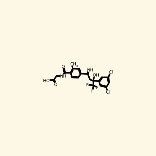 Cc1cc(C(=N)CC(O)(c2cc(Cl)cc(Cl)c2)C(F)(F)F)ccc1C(=O)NCC(=O)O